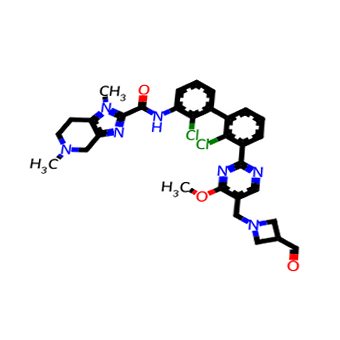 COc1nc(-c2cccc(-c3cccc(NC(=O)c4nc5c(n4C)CCN(C)C5)c3Cl)c2Cl)ncc1CN1CC(C=O)C1